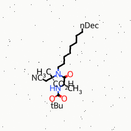 CCCCCCCCCCCCCCCCCCN(C(=O)[C@@H](C)NC(=O)OC(C)(C)C)[C@](C)(CC#N)C(=O)O